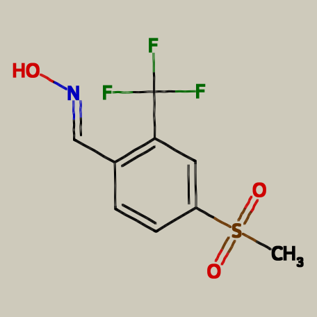 CS(=O)(=O)c1ccc(C=NO)c(C(F)(F)F)c1